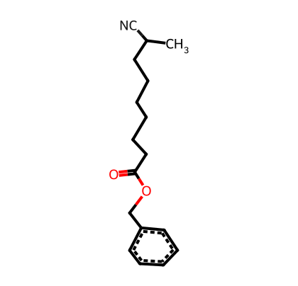 CC(C#N)CCCCCCC(=O)OCc1ccccc1